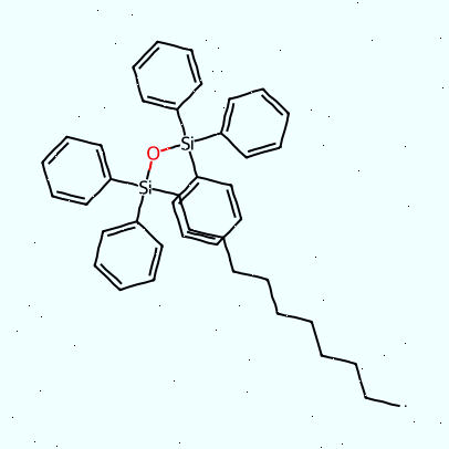 [CH2]CCCCCCCCCC[Si](O[Si](c1ccccc1)(c1ccccc1)c1ccccc1)(c1ccccc1)c1ccccc1